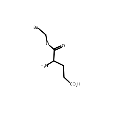 CCC(C)COC(=O)C(N)CCC(=O)O